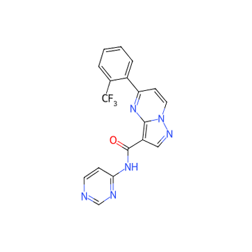 O=C(Nc1ccncn1)c1cnn2ccc(-c3ccccc3C(F)(F)F)nc12